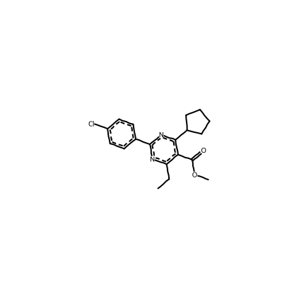 CCc1nc(-c2ccc(Cl)cc2)nc(C2CCCC2)c1C(=O)OC